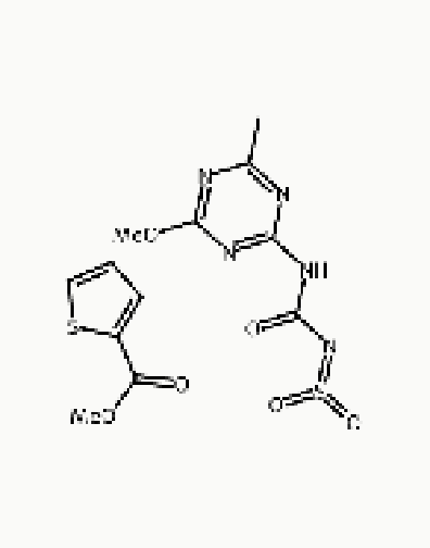 COC(=O)c1cccs1.COc1nc(C)nc(NC(=O)N=S(=O)=O)n1